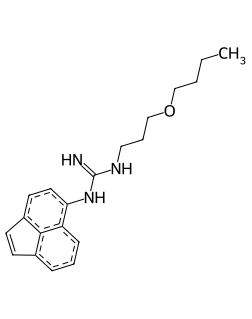 CCCCOCCCNC(=N)Nc1ccc2c3c(cccc13)C=C2